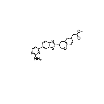 COC(=O)Cc1ccc2c(c1)CC(c1nc3ccc(-c4ccnc(N)n4)cc3s1)CO2